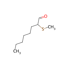 CCCCCCC(C=O)SC